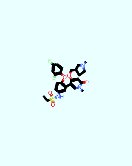 CCS(=O)(=O)Nc1ccc(Oc2ccc(F)cc2F)c(-c2cn(C)c(=O)cc2OCC2CCN(C)C2)c1